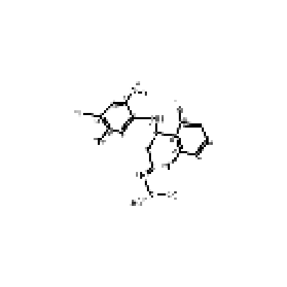 CC(C)(C)[S@@+]([O-])N=CC[C@@H](Nc1cc(Cl)c(F)cc1[N+](=O)[O-])c1c(F)cccc1Br